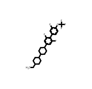 CCC1CCC(C2CCC(c3cc(F)c(-c4ccc(OC(F)(F)F)c(F)c4)c(F)c3)CC2)CC1